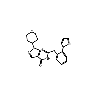 O=c1[nH]c(Cc2ccccc2-n2cccn2)nc2c1cnn2C1CCOCC1